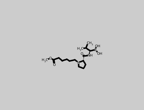 COC(=O)CCCCCN1CCC[C@H]1C(=O)N[C@H](B(O)O)C(C)C